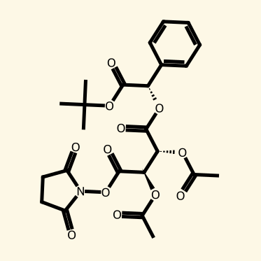 CC(=O)O[C@@H](C(=O)O[C@H](C(=O)OC(C)(C)C)c1ccccc1)[C@@H](OC(C)=O)C(=O)ON1C(=O)CCC1=O